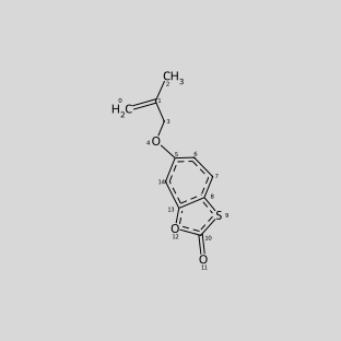 C=C(C)COc1ccc2sc(=O)oc2c1